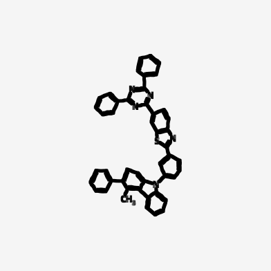 Cc1c(-c2ccccc2)ccc2c1c1ccccc1n2-c1cccc(-c2nc3ccc(-c4nc(-c5ccccc5)nc(-c5ccccc5)n4)cc3s2)c1